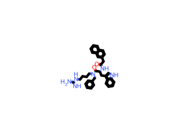 N=C(N)NCCCCN(Cc1ccccc1)C(=O)C(Cc1c[nH]c2ccccc12)NC(=O)Cc1ccc2ccccc2c1